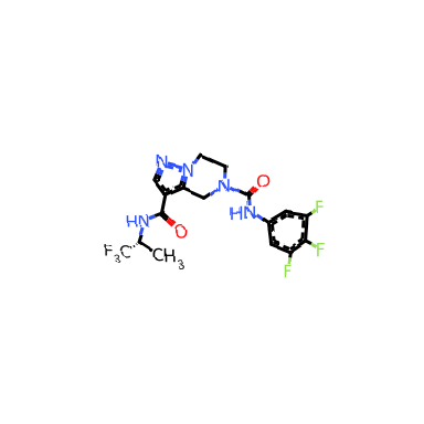 C[C@@H](NC(=O)c1cnn2c1CN(C(=O)Nc1cc(F)c(F)c(F)c1)CC2)C(F)(F)F